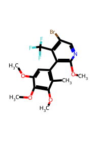 COc1cc(-c2c(OC)ncc(Br)c2C(F)(F)F)c(C)c(OC)c1OC